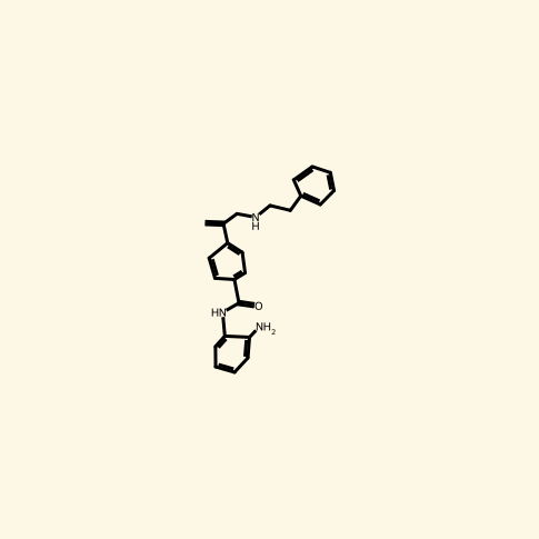 C=C(CNCCc1ccccc1)c1ccc(C(=O)Nc2ccccc2N)cc1